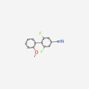 COc1[c]cccc1-c1c(F)cc(C#N)cc1F